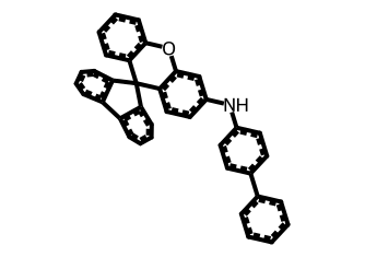 c1ccc(-c2ccc(Nc3ccc4c(c3)Oc3ccccc3C43c4ccccc4-c4ccccc43)cc2)cc1